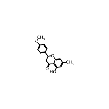 COc1ccc(C2CC(=O)c3c(O)cc(C)cc3O2)cc1